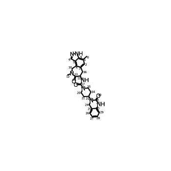 Cc1cc2c(c3cn[nH]c13)CN(C)C(=O)C(NC(=O)N1CCC(N3Cc4ccccc4NC3=O)CC1)C2